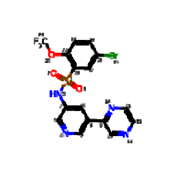 O=S(=O)(Nc1cncc(-c2cnccn2)c1)c1cc(Br)ccc1OC(F)(F)F